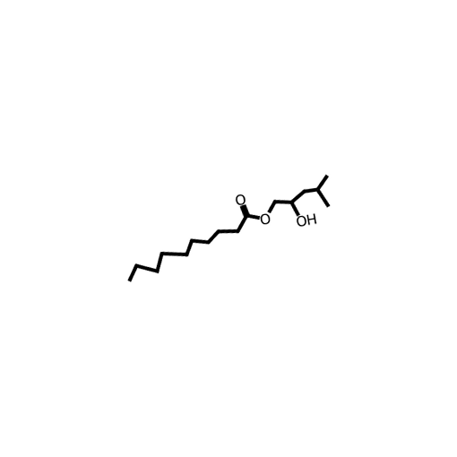 CCCCCCCCCC(=O)OCC(O)C[C](C)C